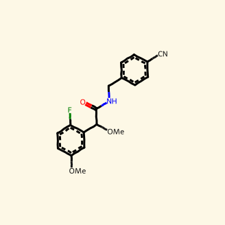 COc1ccc(F)c(C(OC)C(=O)NCc2ccc(C#N)cc2)c1